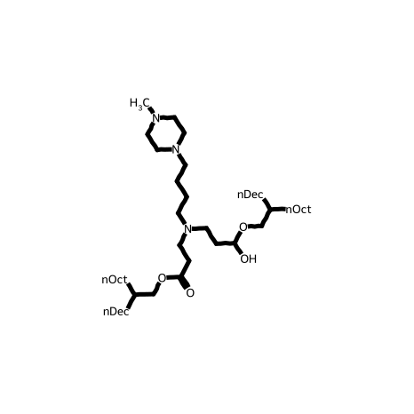 CCCCCCCCCCC(CCCCCCCC)COC(=O)CCN(CCCCN1CCN(C)CC1)CCC(O)OCC(CCCCCCCC)CCCCCCCCCC